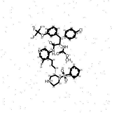 COC(=O)N[C@H](C(=O)Nc1cncc(F)c1CCC[C@H]1CNCCN1S(=O)(=O)c1ccccc1)[C@@H](c1ccc(Cl)cc1)c1cccc(OC(F)(F)F)c1